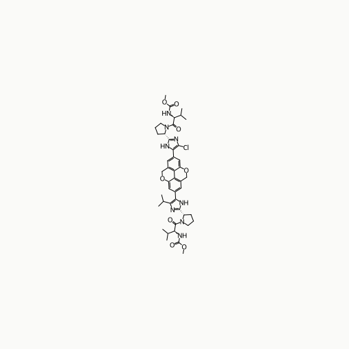 COC(=O)N[C@H](C(=O)N1CCC[C@H]1c1nc(Cl)c(-c2cc3c4c(c2)OCc2cc(-c5[nH]c([C@@H]6CCCN6C(=O)[C@@H](NC(=O)OC)C(C)C)nc5C(C)C)cc(c2-4)OC3)[nH]1)C(C)C